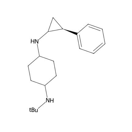 CC(C)(C)NC1CCC(NC2C[C@H]2c2ccccc2)CC1